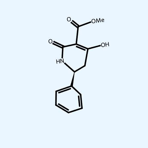 COC(=O)C1=C(O)C[C@@H](c2ccccc2)NC1=O